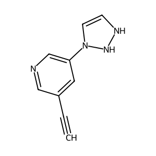 C#Cc1cncc(N2C=CNN2)c1